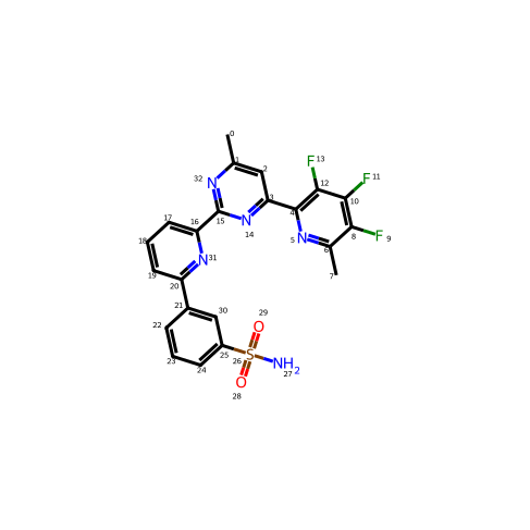 Cc1cc(-c2nc(C)c(F)c(F)c2F)nc(-c2cccc(-c3cccc(S(N)(=O)=O)c3)n2)n1